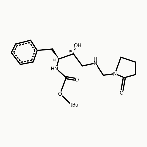 CC(C)(C)OC(=O)N[C@@H](Cc1ccccc1)[C@H](O)CNCN1CCCC1=O